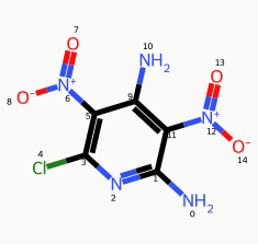 Nc1nc(Cl)c([N+](=O)[O-])c(N)c1[N+](=O)[O-]